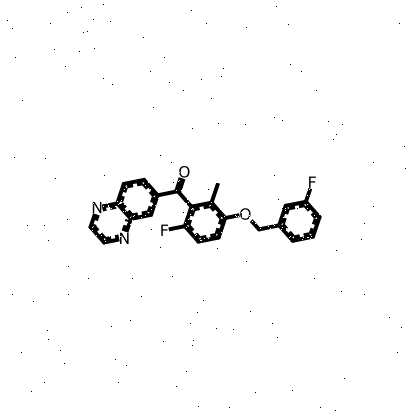 Cc1c(OCc2cccc(F)c2)ccc(F)c1C(=O)c1ccc2nccnc2c1